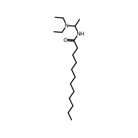 CCCCCCCCCCCC(=O)NC(C)N(CC)CC